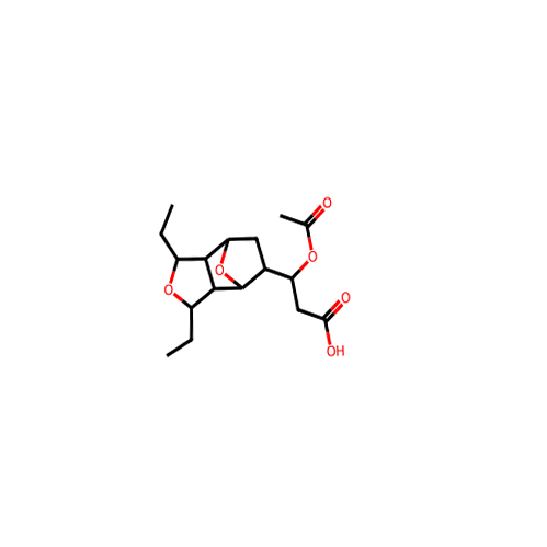 CCC1OC(CC)C2C3OC(CC3C(CC(=O)O)OC(C)=O)C12